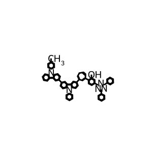 Cc1ccc(-n2c3ccccc3c3cc(-c4ccc5c(c4)c4cc(C6=CCC#CC(c7ccc(-c8nc(-c9ccccc9)nc(-c9ccccc9)n8)cc7O)=C6)ccc4n5-c4ccccc4)ccc32)cc1